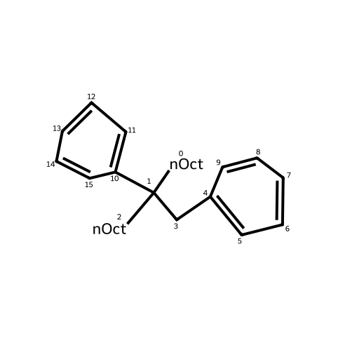 CCCCCCCCC(CCCCCCCC)(Cc1ccccc1)c1ccccc1